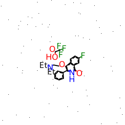 CCN(CC)CCOc1c(-c2ccccc2)[nH]c(=O)c2cc(F)ccc12.O=C(O)C(F)(F)F